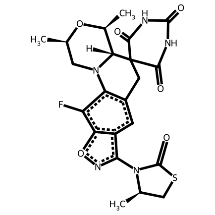 C[C@@H]1CN2c3c(cc4c(N5C(=O)SC[C@H]5C)noc4c3F)CC3(C(=O)NC(=O)NC3=O)[C@H]2[C@H](C)O1